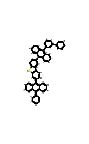 c1ccc(-c2cccc(-c3c4ccccc4c(-c4ccc5sc6cc(-c7c8ccccc8c(-c8ccccc8)c8ccccc78)ccc6c5c4)c4ccccc34)c2)cc1